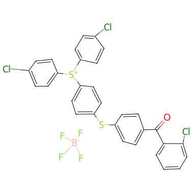 F[B-](F)(F)F.O=C(c1ccc(Sc2ccc([S+](c3ccc(Cl)cc3)c3ccc(Cl)cc3)cc2)cc1)c1ccccc1Cl